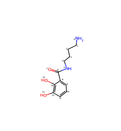 NCCCCNC(=O)c1cccc(O)c1O